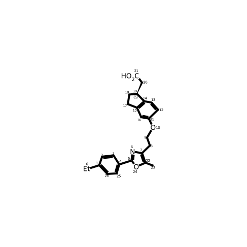 CCc1ccc(-c2nc(CCOc3ccc4c(c3)CC[C@H]4CC(=O)O)c(C)o2)cc1